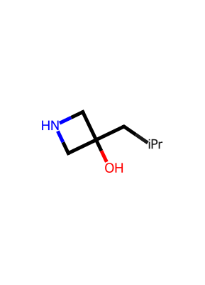 CC(C)CC1(O)CNC1